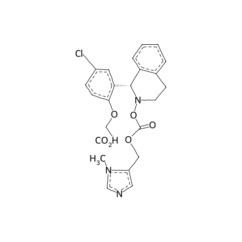 Cn1cncc1COC(=O)ON1CCc2ccccc2[C@H]1c1cc(Cl)ccc1OCC(=O)O